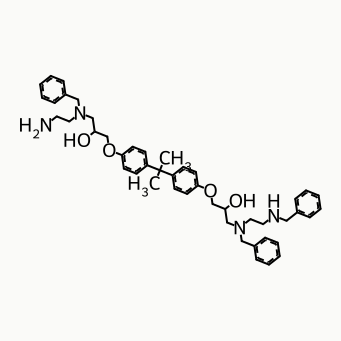 CC(C)(c1ccc(OCC(O)CN(CCN)Cc2ccccc2)cc1)c1ccc(OCC(O)CN(CCNCc2ccccc2)Cc2ccccc2)cc1